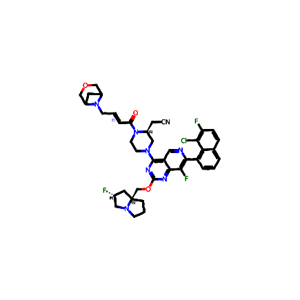 N#CC[C@H]1CN(c2nc(OC[C@@]34CCCN3C[C@H](F)C4)nc3c(F)c(-c4cccc5ccc(F)c(Cl)c45)ncc23)CCN1C(=O)/C=C/CN1C2COCC1C2